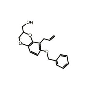 C=CCc1c(OCc2ccccc2)ccc2c1OC(CO)CO2